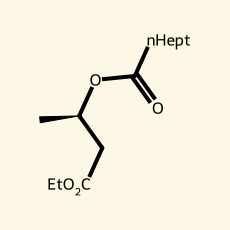 CCCCCCCC(=O)O[C@H](C)CC(=O)OCC